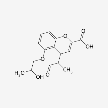 CC(O)COc1cccc2c1C(C(C)C=O)C=C(C(=O)O)O2